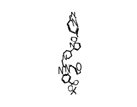 CC(C)(C)OC(=O)c1ccc2nc(CN3CCC(c4cccc(OCc5ccc6cncn6c5)n4)CC3)n(CC3=CCO3)c2c1